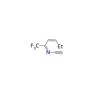 C#C/N=C(\C=C/CC)C(F)(F)F